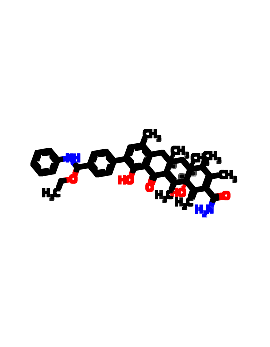 C=C1C(C(N)=O)=C(C)C(C)[C@]2(C)C[C@]3(C)Cc4c(C)cc(-c5ccc(C(Nc6ccccc6)OCC)cc5)c(O)c4C(=O)C3=C(C)[C@]12O